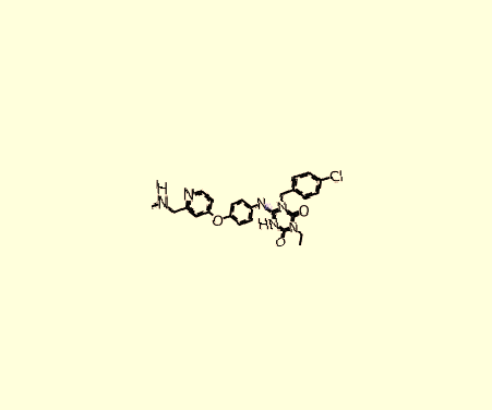 CCn1c(=O)[nH]/c(=N\c2ccc(Oc3ccnc(CNC)c3)cc2)n(Cc2ccc(Cl)cc2)c1=O